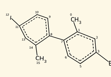 Cc1cc(Br)ccc1-c1ccc(I)cc1C